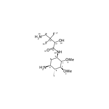 COC1[C@@H](OC)[C@H](C)[C@@H](N)C[C@H]1NC(=O)C(O)C(F)(F)CN